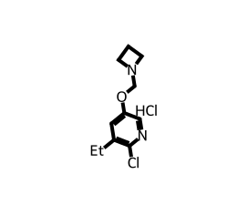 CCc1cc(OCN2CCC2)cnc1Cl.Cl